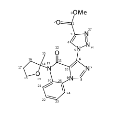 COC(=O)c1cn(-c2ncn3c2c(=O)n(C2(C)CCCO2)c2ccccc23)nn1